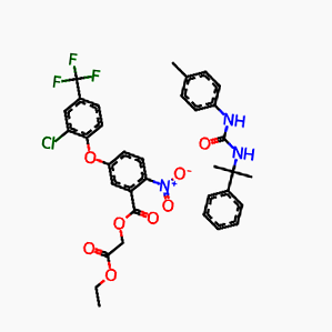 CCOC(=O)COC(=O)c1cc(Oc2ccc(C(F)(F)F)cc2Cl)ccc1[N+](=O)[O-].Cc1ccc(NC(=O)NC(C)(C)c2ccccc2)cc1